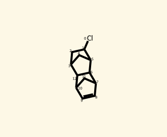 ClC1CC2CC1C1C3C=CC(C3)C21